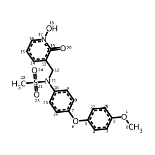 COc1ccc(Oc2ccc(N(Cc3cccn(O)c3=O)S(C)(=O)=O)cc2)cc1